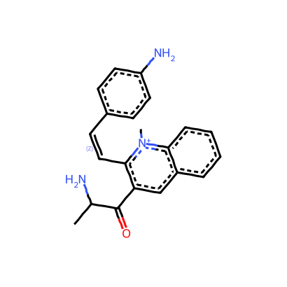 CC(N)C(=O)c1cc2ccccc2[n+](C)c1/C=C\c1ccc(N)cc1